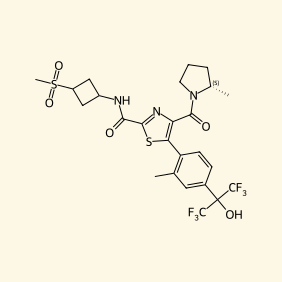 Cc1cc(C(O)(C(F)(F)F)C(F)(F)F)ccc1-c1sc(C(=O)NC2CC(S(C)(=O)=O)C2)nc1C(=O)N1CCC[C@@H]1C